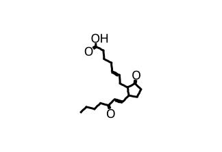 CCCCC(=O)C=CC1CCC(=O)C1CC=CCCCC(=O)O